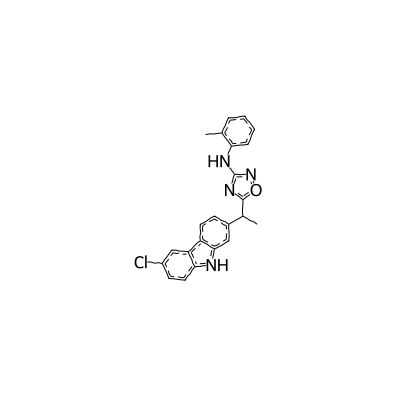 Cc1ccccc1Nc1noc(C(C)c2ccc3c(c2)[nH]c2ccc(Cl)cc23)n1